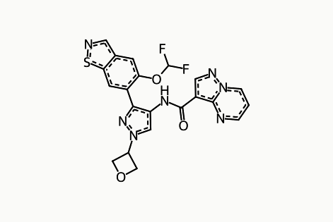 O=C(Nc1cn(C2COC2)nc1-c1cc2sncc2cc1OC(F)F)c1cnn2cccnc12